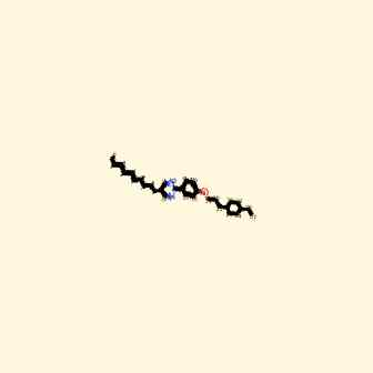 CCCCCCCCCCc1cnc(-c2ccc(OCCCC3CCC(CC)CC3)cc2)nc1